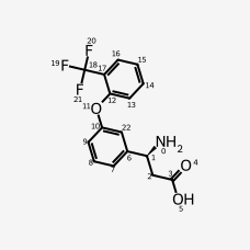 N[C@@H](CC(=O)O)c1cccc(Oc2ccccc2C(F)(F)F)c1